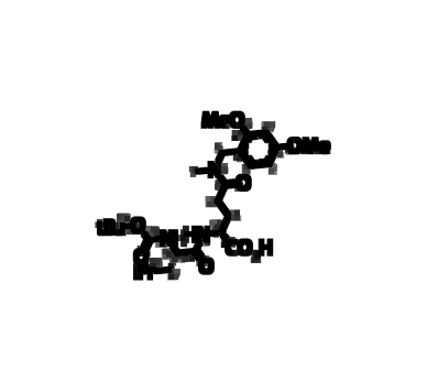 COc1ccc(CN(C)C(=O)CC[C@H](NC(=O)[C@H](CC(C)C)NC(=O)OC(C)(C)C)C(=O)O)c(OC)c1